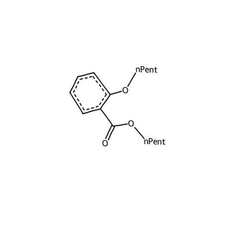 CCCCCOC(=O)c1ccccc1OCCCCC